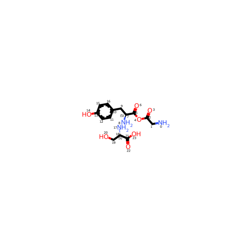 NCC(=O)OC(=O)[C@@H](N)Cc1ccc(O)cc1.N[C@@H](CO)C(=O)O